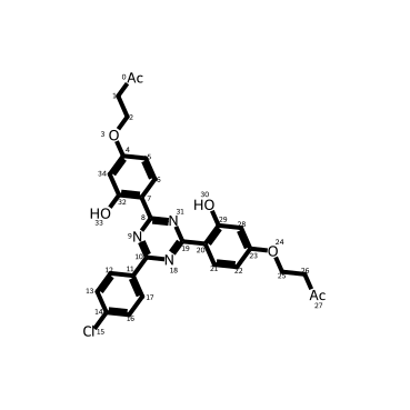 CC(=O)CCOc1ccc(-c2nc(-c3ccc(Cl)cc3)nc(-c3ccc(OCCC(C)=O)cc3O)n2)c(O)c1